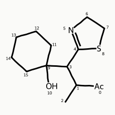 CC(=O)C(C)C(C1=NCCS1)C1(O)CCCCC1